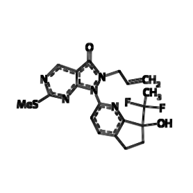 C=CCn1c(=O)c2cnc(SC)nc2n1-c1ccc2c(n1)C(O)(C(C)(F)F)CC2